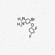 Nc1cc(Br)c(Oc2ccc(F)cc2F)cc1N